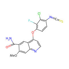 COc1cc2nccc(Oc3ccc(N=C=S)c(Cl)c3F)c2cc1C(N)=O